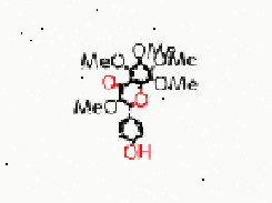 COc1c(OC)c(OC)c2c(=O)c(OC)c(-c3ccc(O)cc3)oc2c1OC